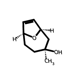 C[C@]1(O)CC[C@H]2C=C[C@@H](C1)O2